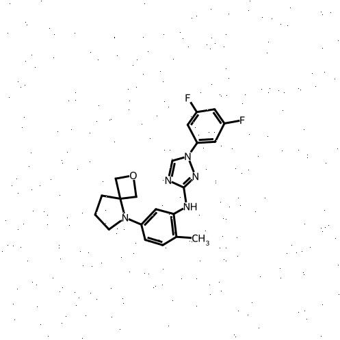 Cc1ccc(N2CCCC23COC3)cc1Nc1ncn(-c2cc(F)cc(F)c2)n1